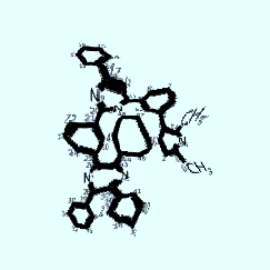 Cc1ccc(-c2cccc(-c3cc(-c4ccccc4)nc(-c4cccc(-c5nc(-c6ccccc6)c(-c6ccccc6)nc5C5CCCCC5)c4)n3)c2)c(C)n1